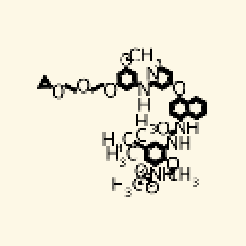 COc1cc(Nc2cc(Oc3ccc(NC(=O)Nc4cc(C(C)(C)C)cc(NS(C)(=O)=O)c4OC)c4ccccc34)ccn2)cc(OCCOCCOC2CC2)c1